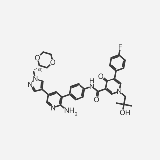 CC(C)(O)Cn1cc(C(=O)Nc2ccc(-c3cc(-c4cnn(C[C@H]5COCCO5)c4)cnc3N)cc2)c(=O)c(-c2ccc(F)cc2)c1